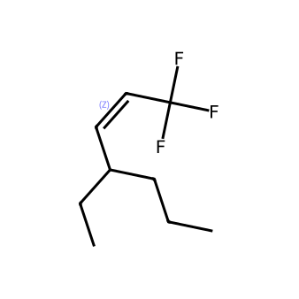 CCCC(/C=C\C(F)(F)F)CC